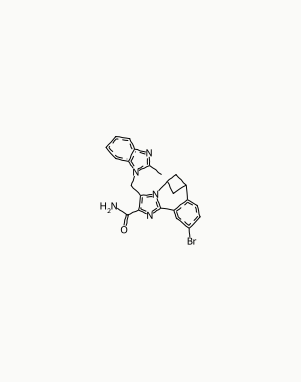 Cc1nc2ccccc2n1Cc1c(C(N)=O)nc2n1C1CC(C1)c1ccc(Br)cc1-2